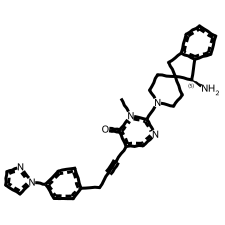 Cn1c(N2CCC3(CC2)Cc2ccccc2[C@H]3N)ncc(C#CCc2ccc(-n3cccn3)cc2)c1=O